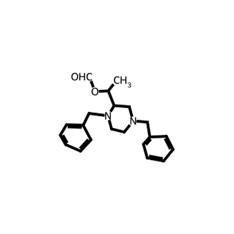 CC(OC=O)C1CN(Cc2ccccc2)CCN1Cc1ccccc1